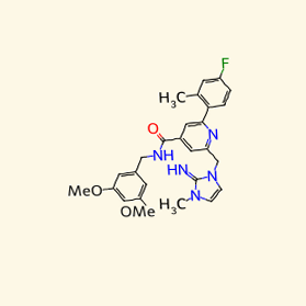 COc1cc(CNC(=O)c2cc(Cn3ccn(C)c3=N)nc(-c3ccc(F)cc3C)c2)cc(OC)c1